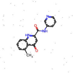 Cc1cccc2[nH]c(C(=O)Nc3cccnc3)cc(=O)c12